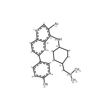 CC(=O)c1cnc2ccc(-c3cnc(C#N)nc3)nc2c1NC1CCC(CN(C)C)CC1